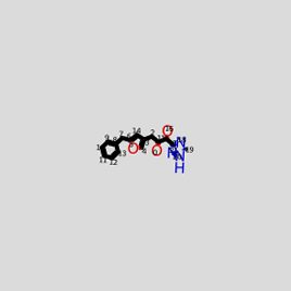 O=C(Cc1coc(Cc2ccccc2)c1)C(=O)c1nc[nH]n1